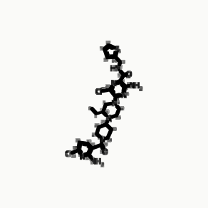 CC[C@H]1CN(c2nc(N)c(C(=O)NCc3cccs3)nc2Cl)CCN1C1CCN(C(=O)c2ccc(Cl)nc2N)CC1